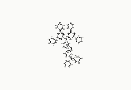 c1ccc(-c2nc(-c3ccccc3)nc(N(c3ccc4c(c3)sc3cc(N(c5ccccc5)c5ccccc5)ccc34)c3nc(-c4ccccc4)nc(-c4ccccc4)n3)n2)cc1